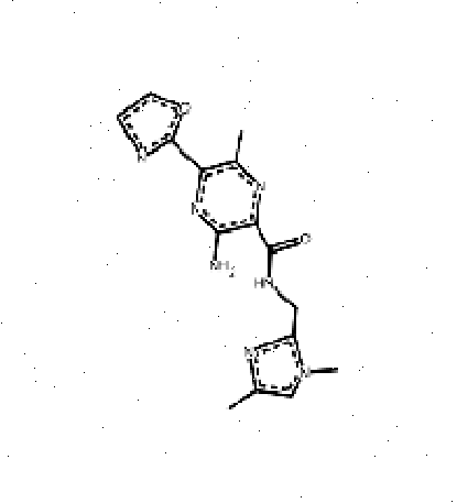 Cc1cn(C)c(CNC(=O)c2nc(C)c(-c3ncco3)nc2N)n1